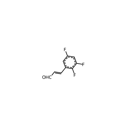 O=C/C=C/c1cc(F)cc(F)c1F